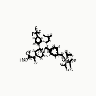 CC(C)CC[C@H](c1ccc(CO[Si](C(C)C)(C(C)C)C(C)C)cc1)N1CC[C@@H](C(C)C(=O)O)C[C@H]1c1ccc(C(F)(F)F)cc1